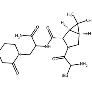 CC(C)(C)C(N)C(=O)N1C[C@H]2[C@@H]([C@H]1C(=O)NC(CN1CCCCC1=O)C(N)=O)C2(C)C